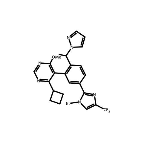 CCn1cc(C(F)(F)F)nc1-c1ccc(C(C)n2cccn2)c(-c2c(OC)ncnc2C2CCC2)c1